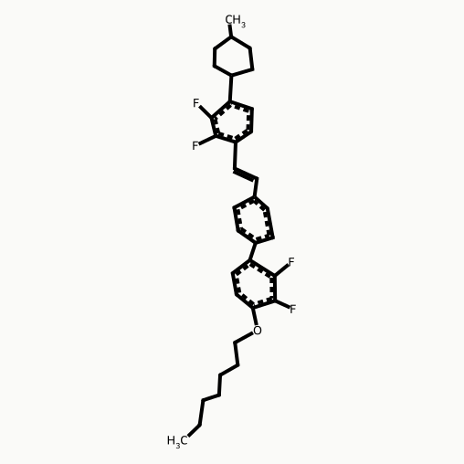 CCCCCCCOc1ccc(-c2ccc(/C=C/c3ccc(C4CCC(C)CC4)c(F)c3F)cc2)c(F)c1F